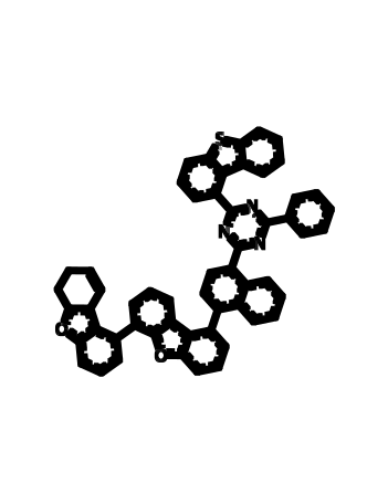 C1=Cc2c(oc3cccc(-c4cccc5c4oc4cccc(-c6ccc(-c7nc(-c8ccccc8)nc(-c8cccc9sc%10ccccc%10c89)n7)c7ccccc67)c45)c23)CC1